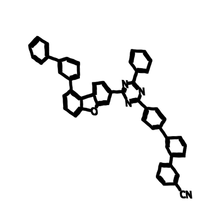 N#Cc1cccc(-c2cccc(-c3ccc(-c4nc(-c5ccccc5)nc(-c5ccc6c(c5)oc5cccc(-c7cccc(-c8ccccc8)c7)c56)n4)cc3)c2)c1